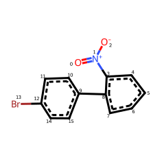 O=[N+]([O-])c1ccccc1-c1ccc(Br)cc1